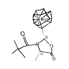 C[C@H]1C(=O)O[C@@H]([C]23[CH]4[CH]5[CH]6[CH]2[Fe]56432789[CH]3[CH]2[CH]7[CH]8[CH]39)N1C(=O)C(C)(C)C